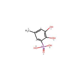 Cc1cc(O)c(O)c(P(=O)(O)O)c1